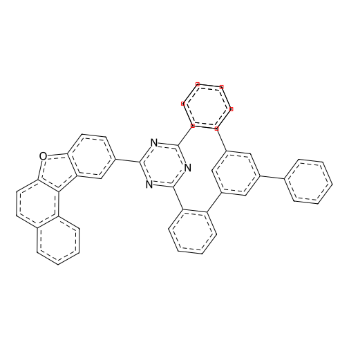 c1ccc(-c2cc(-c3ccccc3)cc(-c3ccccc3-c3nc(-c4ccccc4)nc(-c4ccc5oc6ccc7ccccc7c6c5c4)n3)c2)cc1